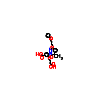 CC(C(=O)Nc1ccc(C(=O)O)cc1OCCCC(=O)O)c1cccc(OCCCCOc2ccccc2)c1